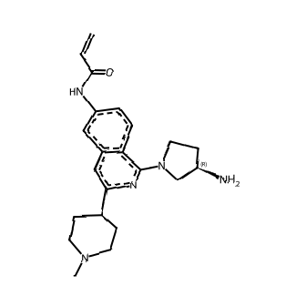 C=CC(=O)Nc1ccc2c(N3CC[C@@H](N)C3)nc(C3CCN(C)CC3)cc2c1